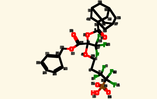 O=C(OC(OCCC(F)(F)C(F)(F)S(=O)(=O)O)(C(=O)OCc1ccccc1)C(F)(F)F)C12CC3CC(CC(C3)C1)C2